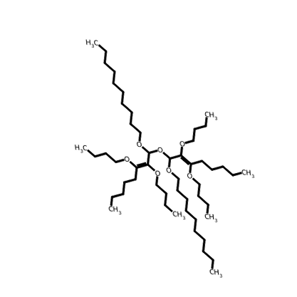 CCCCCCCCCCOC(OC(OCCCCCCCCCC)C(OCCCC)=C(CCCCC)OCCCC)C(OCCCC)=C(CCCCC)OCCCC